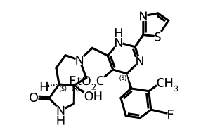 CCOC(=O)C1=C(CN2CC[C@@H]3C(=O)NC[C@@]3(O)C2)NC(c2nccs2)=N[C@H]1c1cccc(F)c1C